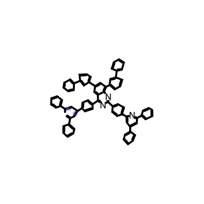 C=C(/C=C(\C=C(/C)c1ccccc1)c1ccc(-c2nc(-c3ccc(-c4cc(-c5ccccc5)cc(-c5ccccc5)n4)cc3)nc3c(-c4cccc(-c5ccccc5)c4)cc(-c4cccc(-c5ccccc5)c4)cc23)cc1)c1ccccc1